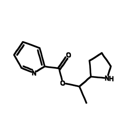 CC(OC(=O)c1ccccn1)C1CCCN1